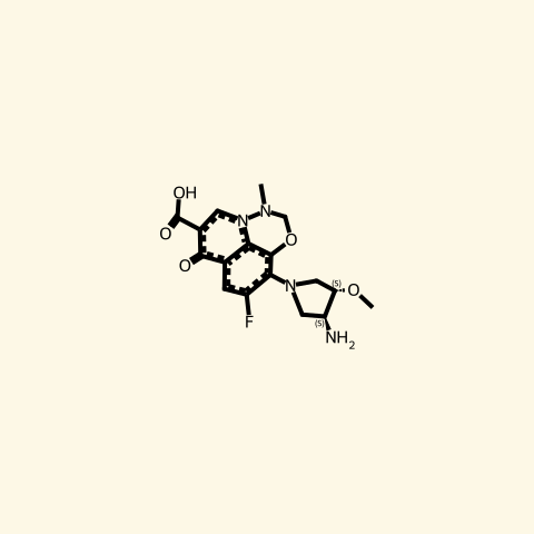 CO[C@H]1CN(c2c(F)cc3c(=O)c(C(=O)O)cn4c3c2OCN4C)C[C@@H]1N